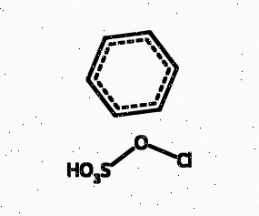 O=S(=O)(O)OCl.c1ccccc1